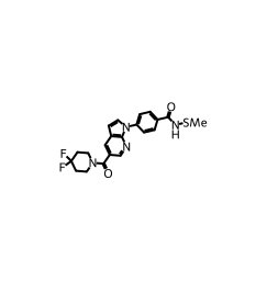 CSNC(=O)c1ccc(-n2ccc3cc(C(=O)N4CCC(F)(F)CC4)cnc32)cc1